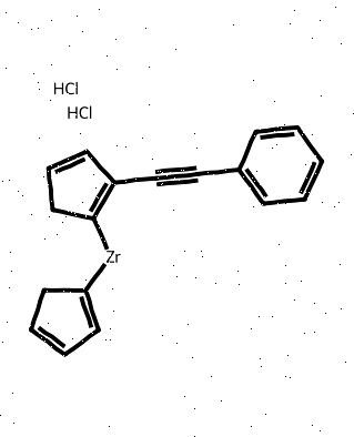 C(#Cc1ccccc1)C1=[C]([Zr][C]2=CC=CC2)CC=C1.Cl.Cl